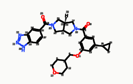 O=C(c1cc(OCC2CCOCC2)cc(C2CC2)c1)N1CC2CN(C(=O)c3ccc4[nH]nnc4c3)C[C@H]2C1